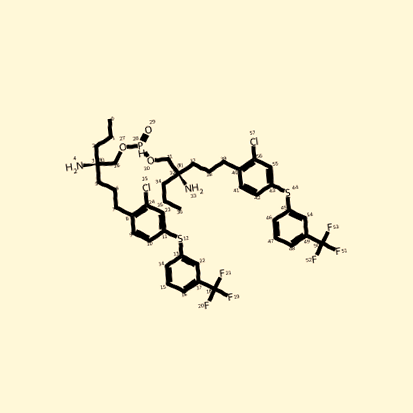 CCC[C@@](N)(CCCc1ccc(Sc2cccc(C(F)(F)F)c2)cc1Cl)CO[PH](=O)OC[C@@](N)(CCC)CCCc1ccc(Sc2cccc(C(F)(F)F)c2)cc1Cl